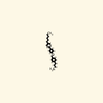 CCCCCCc1cnc(-c2ccc(OCc3ccc(CCCC)cc3)cc2)nc1